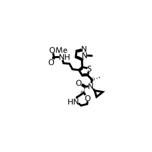 COC(=O)NCCCc1cc([C@H](C)N(C(=O)[C@H]2CNCCO2)C2CC2)sc1-c1ccnn1C